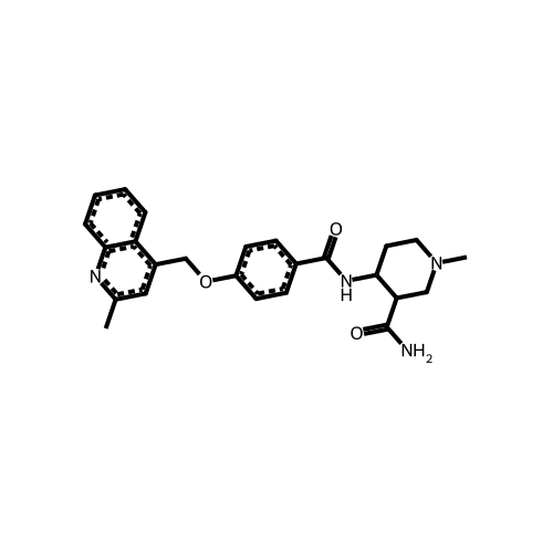 Cc1cc(COc2ccc(C(=O)NC3CCN(C)CC3C(N)=O)cc2)c2ccccc2n1